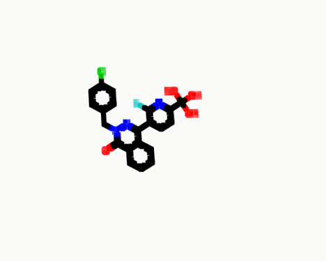 O=c1c2ccccc2c(-c2ccc(C(O)(O)O)nc2F)nn1Cc1ccc(Cl)cc1